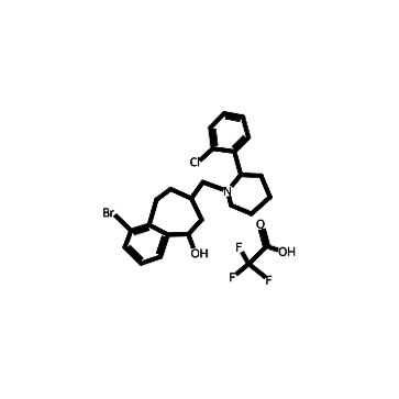 O=C(O)C(F)(F)F.OC1CC(CN2CCCCC2c2ccccc2Cl)CCc2c(Br)cccc21